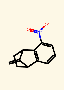 C=C1C2CCC1c1c2cccc1[N+](=O)[O-]